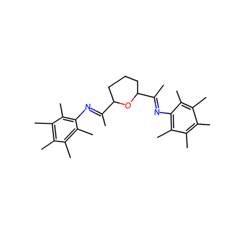 C/C(=N\c1c(C)c(C)c(C)c(C)c1C)C1CCCC(/C(C)=N/c2c(C)c(C)c(C)c(C)c2C)O1